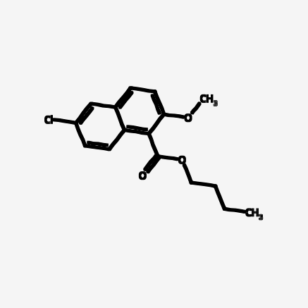 CCCCOC(=O)c1c(OC)ccc2cc(Cl)ccc12